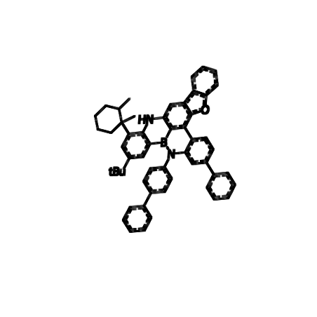 CC1CCCCC1(C)c1cc(C(C)(C)C)cc2c1Nc1cc3c(oc4ccccc43)c3c1B2N(c1ccc(-c2ccccc2)cc1)c1cc(-c2ccccc2)ccc1-3